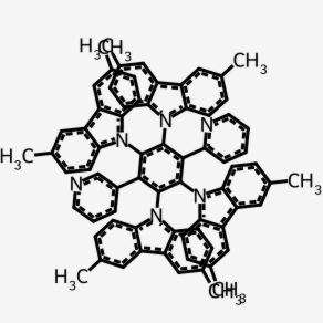 Cc1ccc2c(c1)c1cc(C)ccc1n2-c1c(-c2cccnc2)c(-n2c3ccc(C)cc3c3cc(C)ccc32)c(-n2c3ccc(C)cc3c3cc(C)ccc32)c(-c2ccccn2)c1-n1c2ccc(C)cc2c2cc(C)ccc21